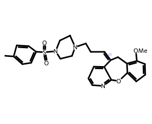 COc1cccc2c1C/C(=C/CCN1CCN(S(=O)(=O)c3ccc(C)cc3)CC1)c1cccnc1O2